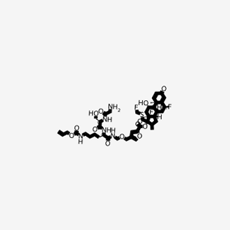 C=CCOC(=O)NCCCC[C@H](NC(=O)[C@H](CO)NC(=O)CN)C(=O)NCOCc1coc(C(=O)O[C@]2(C(=O)SCF)C(C)C[C@H]3[C@@H]4C[C@H](F)C5=CC(=O)C=C[C@]5(C)[C@@]4(F)[C@@H](O)C[C@@]32C)c1